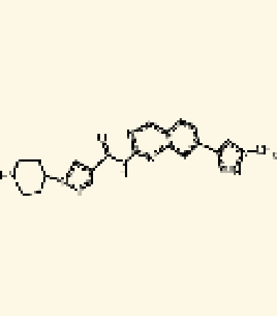 Cn1cc(-c2ccc3cnc(NC(=O)c4cnn(C5CCNCC5)c4)nc3c2)cn1